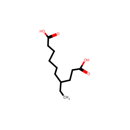 CCC(CCCCCC(=O)O)CCC(=O)O